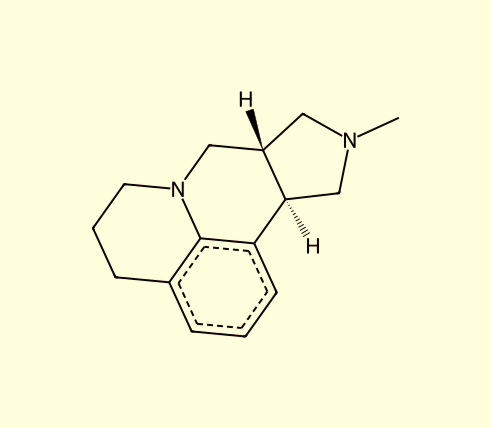 CN1C[C@H]2CN3CCCc4cccc(c43)[C@@H]2C1